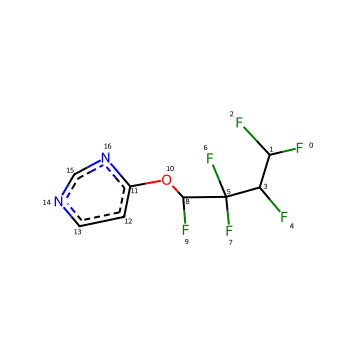 FC(F)C(F)C(F)(F)C(F)Oc1ccncn1